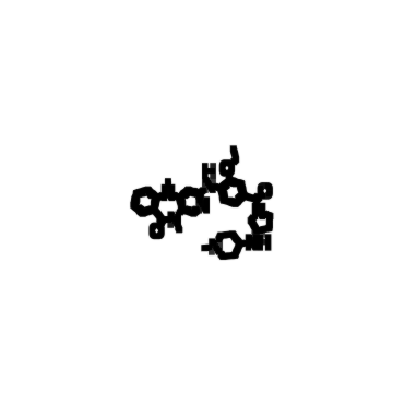 CCOc1cc(C(=O)N2CC[C@@H](NC3CCN(C)CC3)C2)ccc1Nc1cc2c(cn1)N(C)C(=O)c1ccccc1N2C